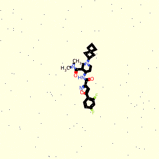 CN(C)C(=O)C1CN(C2CC3(CCC3)C2)CCC1NC(=O)c1cc(-c2ccc(F)cc2F)on1